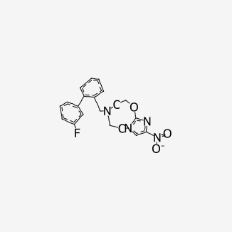 O=[N+]([O-])c1cn2c(n1)OCCN(Cc1ccccc1-c1cccc(F)c1)CC2